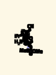 B[C@H]1C[C@@H]2OC[C@](/C=C/P(=O)(OC)OC)(O1)[C@H]2OP(OCCC#N)N(C(C)C)C(C)C